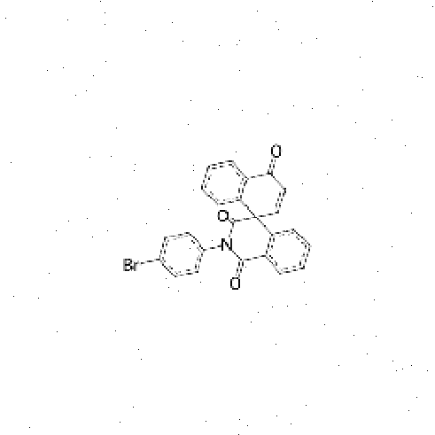 O=C1C=CC2(C(=O)N(c3ccc(Br)cc3)C(=O)c3ccccc32)c2ccccc21